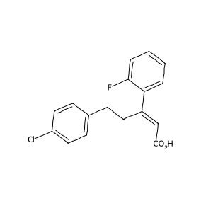 O=C(O)/C=C(\CCc1ccc(Cl)cc1)c1ccccc1F